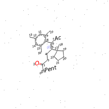 CCCCCC(=O)CC/C(=C(/C(C)=O)c1c(C)cc(C)cc1C)C1(C)CCCC1